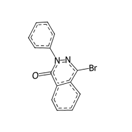 O=c1c2ccccc2c(Br)nn1-c1ccccc1